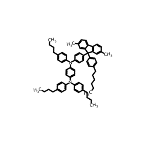 CCCCCCc1ccc(C2(c3ccc(N(c4ccc(CCCC)cc4)c4ccc(N(c5ccc(CCCC)cc5)c5ccc(CCCC)cc5)cc4)cc3)c3cc(C)ccc3-c3ccc(C)cc32)cc1